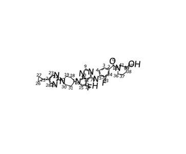 O=C(c1ccc(Nc2ncnc3c2c(F)cn3C2CCN(c3ncc(C4CC4)cn3)CC2)c(F)c1)N1CCC[C@@H](O)C1